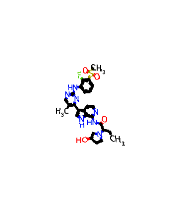 CCC(C(=O)Nc1nccc2c(-c3nc(Nc4cccc(S(C)(=O)=O)c4F)ncc3C)c[nH]c12)N1CCC(O)C1